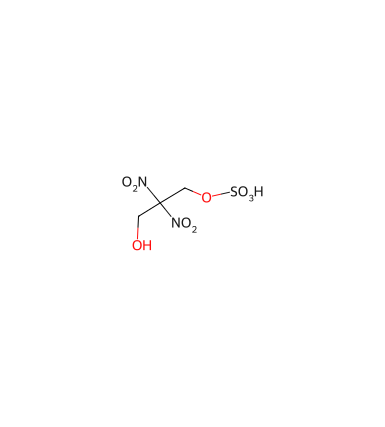 O=[N+]([O-])C(CO)(COS(=O)(=O)O)[N+](=O)[O-]